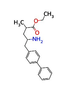 CCOC(=O)C(C)CC(N)Cc1ccc(-c2ccccc2)cc1